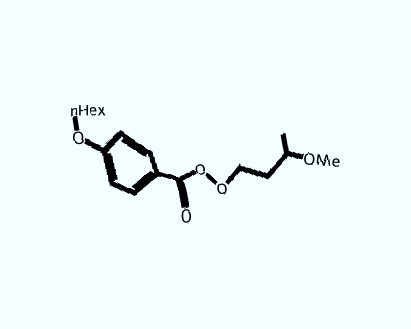 CCCCCCOc1ccc(C(=O)OO[CH]CC(C)OC)cc1